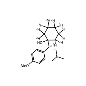 [2H]C1([2H])C([2H])([2H])C([2H])([2H])C(O)([C@H](CN(C)C)c2ccc(OC)cc2)C([2H])([2H])C1([2H])[2H]